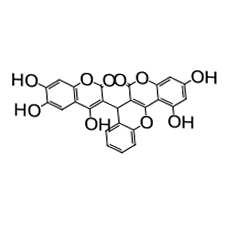 O=c1oc2cc(O)c(O)cc2c(O)c1C1c2ccccc2Oc2c1c(=O)oc1cc(O)cc(O)c21